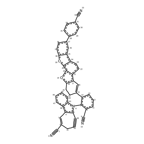 N#CC1=Cc2c(n(-c3c(C#N)cccc3C3=Cc4c(oc5c4ccc4c6cc(-c7ccc(C#N)cc7)ccc6oc45)CC3)c3ccccc23)C#CC1